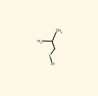 CCSCC(C)N